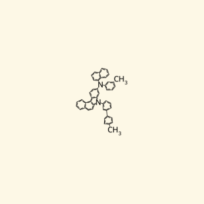 Cc1ccc(-c2cccc(-n3c4cc(N(c5cccc(C)c5)c5cccc6ccccc56)ccc4c4c5ccccc5ccc43)c2)cc1